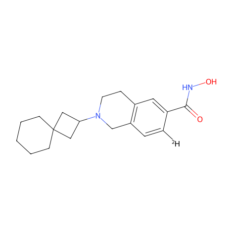 [2H]c1cc2c(cc1C(=O)NO)CCN(C1CC3(CCCCC3)C1)C2